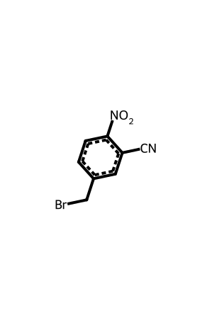 N#Cc1cc(CBr)ccc1[N+](=O)[O-]